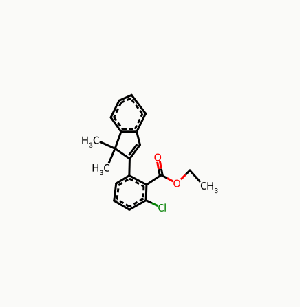 CCOC(=O)c1c(Cl)cccc1C1=Cc2ccccc2C1(C)C